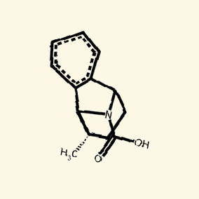 C[C@H]1CCC2c3ccccc3C1N2C(=O)O